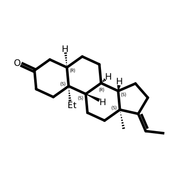 CC=C1CC[C@H]2[C@@H]3CC[C@@H]4CC(=O)CC[C@]4(CC)[C@H]3CC[C@]12C